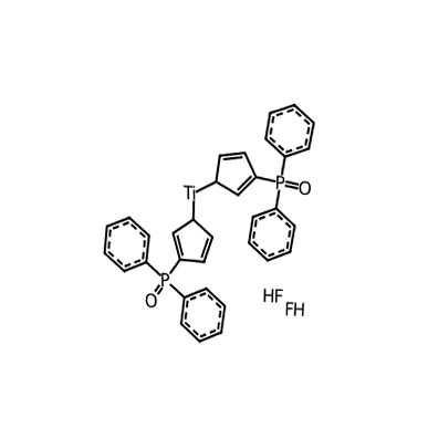 F.F.O=P(C1=C[CH]([Ti][CH]2C=CC(P(=O)(c3ccccc3)c3ccccc3)=C2)C=C1)(c1ccccc1)c1ccccc1